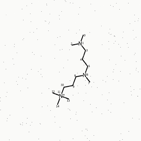 CN(C)CCCN(C)CCC[N+](C)(C)C